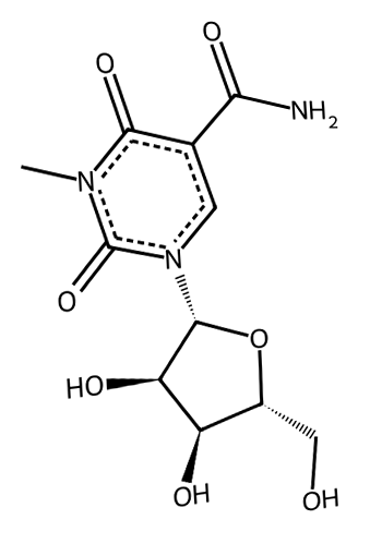 Cn1c(=O)c(C(N)=O)cn([C@@H]2O[C@H](CO)[C@@H](O)[C@H]2O)c1=O